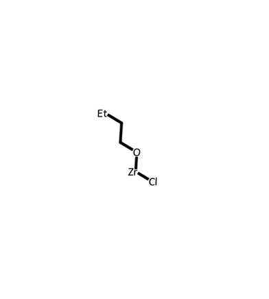 CCCC[O][Zr][Cl]